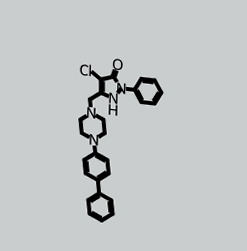 O=c1c(Cl)c(CN2CCN(c3ccc(-c4ccccc4)cc3)CC2)[nH]n1-c1ccccc1